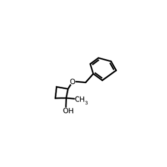 CC1(O)CCC1OCc1ccccc1